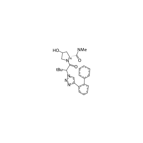 CNC(=O)[C@H]1CC(O)CN1C(=O)C(n1cc(-c2ccccc2-c2ccccc2)nn1)C(C)(C)C